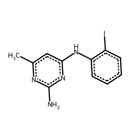 Cc1cc(Nc2ccccc2I)nc(N)n1